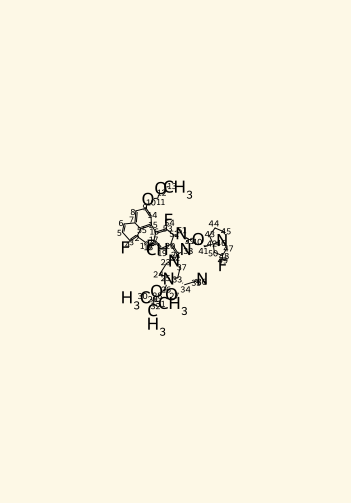 C#Cc1c(F)ccc2cc(OCOC)cc(-c3c(F)cc4c(N5CCN(C(=O)OC(C)(C)C)[C@@H](CC#N)C5)nc(OC[C@@]56CCCN5C[C@H](F)C6)nc4c3F)c12